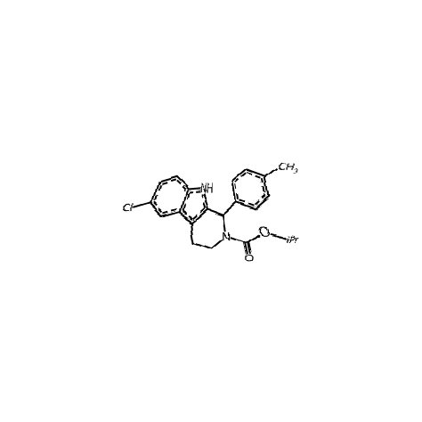 Cc1ccc(C2c3[nH]c4ccc(Cl)cc4c3CCN2C(=O)OC(C)C)cc1